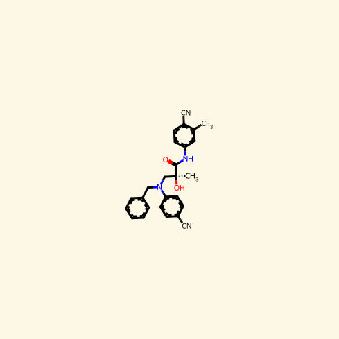 C[C@](O)(CN(Cc1ccccc1)c1ccc(C#N)cc1)C(=O)Nc1ccc(C#N)c(C(F)(F)F)c1